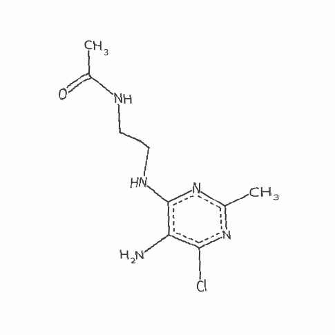 CC(=O)NCCNc1nc(C)nc(Cl)c1N